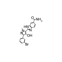 Cn1nc(-c2cccc(Br)c2)c(O)c1-c1nc2ccc(C(N)=O)cc2[nH]1